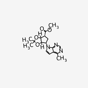 COC(=O)[C@H]1C[C@@H](n2ccc3c(C)ncnc32)[C@@H]2OC(C)(C)O[C@@H]21